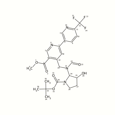 COC(=O)c1cnc(-c2ccc(C(F)(F)F)nc2)cc1CN(C=O)C1C(O)CCN1C(=O)OC(C)(C)C